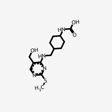 CSc1ncc(CO)c(NCC2CCC(NC(=O)O)CC2)n1